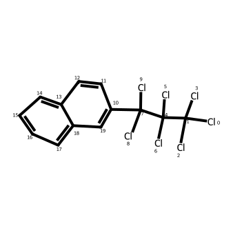 ClC(Cl)(Cl)C(Cl)(Cl)C(Cl)(Cl)c1c[c]c2ccccc2c1